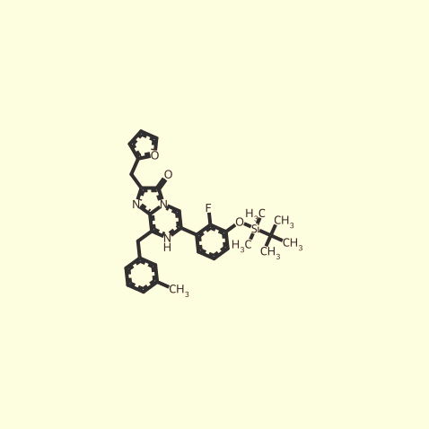 Cc1cccc(Cc2[nH]c(-c3cccc(O[Si](C)(C)C(C)(C)C)c3F)cn3c(=O)c(Cc4ccco4)nc2-3)c1